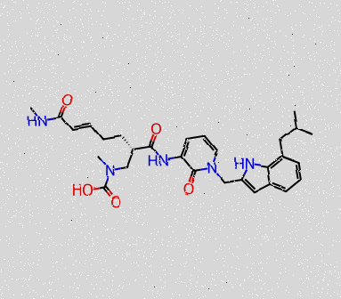 CNC(=O)/C=C/CC[C@@H](CN(C)C(=O)O)C(=O)Nc1cccn(Cc2cc3cccc(CC(C)C)c3[nH]2)c1=O